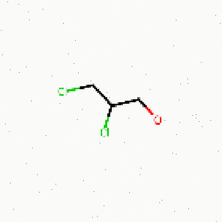 [O]CC(Cl)CCl